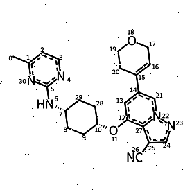 Cc1ccnc(N[C@H]2CC[C@@H](Oc3cc(C4=CCOCC4)cn4ncc(C#N)c34)CC2)n1